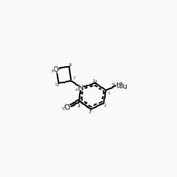 CC(C)(C)c1ccc(=O)n(C2COC2)c1